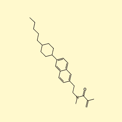 C=C(C)C(=O)N(C)CCc1ccc2cc(C3CCC(CCCCC)CC3)ccc2c1